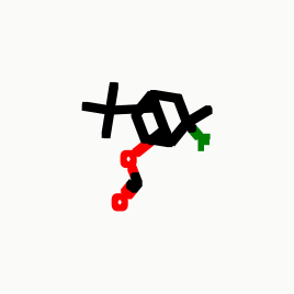 CC(C)(C)C1C2CCC(C1OC=O)C(C)(F)C2